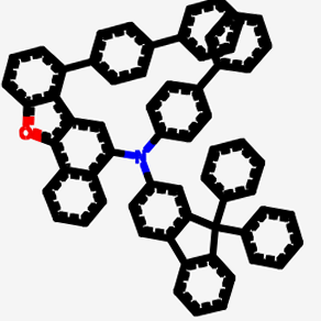 c1ccc(-c2ccc(-c3cccc4oc5c6ccccc6c(N(c6ccc(-c7ccccc7)cc6)c6ccc7c(c6)C(c6ccccc6)(c6ccccc6)c6ccccc6-7)cc5c34)cc2)cc1